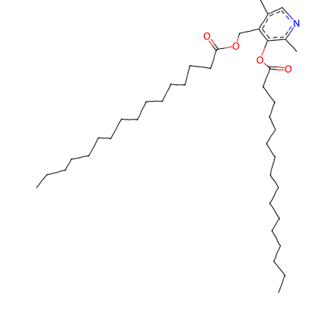 CCCCCCCCCCCCCCCC(=O)OCc1c(CO)cnc(C)c1OC(=O)CCCCCCCCCCCCCCC